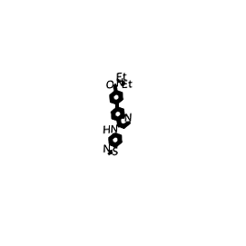 CCN(CC)C(=O)c1ccc(-c2ccc3c(Nc4ccc5scnc5c4)ccnc3c2)cc1